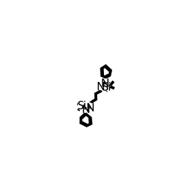 C[Si](C)(C)N(/N=C/CC/C=N/N(c1ccccc1)[Si](C)(C)C)c1ccccc1